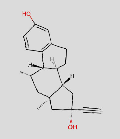 C#C[C@]1(O)C[C@H]2[C@@H]3CCc4cc(O)ccc4[C@H]3[C@@H](C)C[C@]2(C)C1